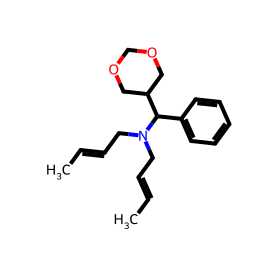 CC=CCN(CC=CC)C(c1ccccc1)C1COCOC1